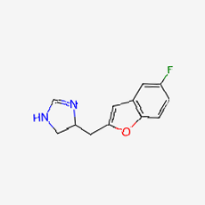 Fc1ccc2oc(CC3CNC=N3)cc2c1